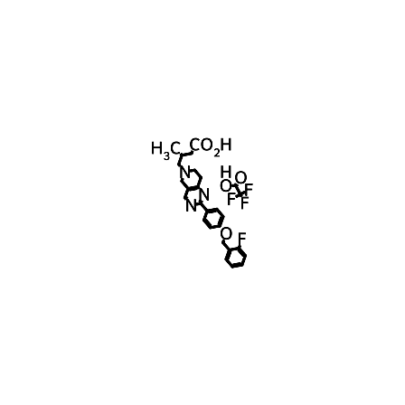 CC(CC(=O)O)CN1CCc2nc(-c3ccc(OCc4ccccc4F)cc3)ncc2C1.O=C(O)C(F)(F)F